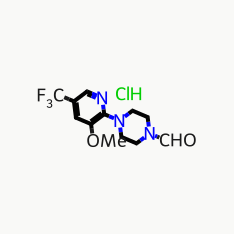 COc1cc(C(F)(F)F)cnc1N1CCN(C=O)CC1.Cl